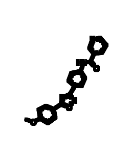 COc1ccc(-c2nc(-c3ccc(NC(=O)c4cccnc4)cc3)no2)cc1